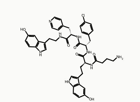 NCCCC(=O)N[C@@H](CCc1c[nH]c2ccc(O)cc12)C(=O)N[C@@H](Cc1ccc(Cl)cc1)C(=O)N[C@@H](Cc1ccncc1)C(=O)NCCc1c[nH]c2ccc(O)cc12